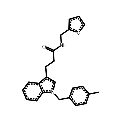 Cc1ccc(Cn2cc(CCC(=O)NCc3ccco3)c3ccccc32)cc1